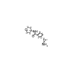 N[C@@H]1C[C@H]1c1cc(C(=O)NC2CCOCC2)cs1